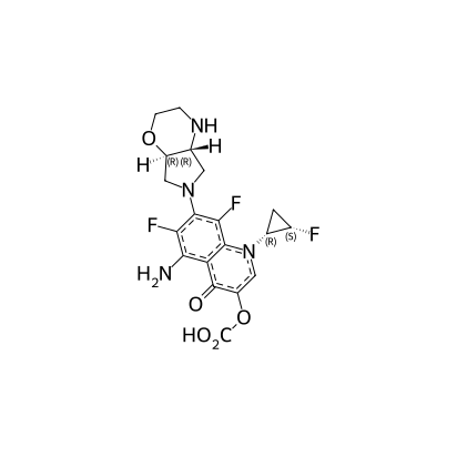 Nc1c(F)c(N2C[C@H]3NCCO[C@@H]3C2)c(F)c2c1c(=O)c(OC(=O)O)cn2[C@@H]1C[C@@H]1F